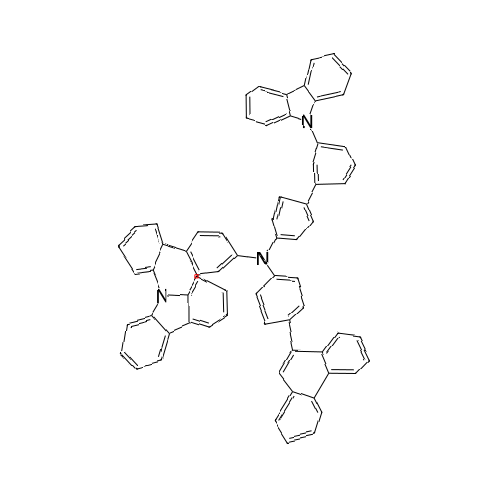 c1cc(-c2ccc(N(c3ccc(-c4ccccc4-n4c5ccccc5c5ccccc54)cc3)c3ccc(-c4cc5ccccc5c5ccccc45)cc3)cc2)cc(-n2c3ccccc3c3ccccc32)c1